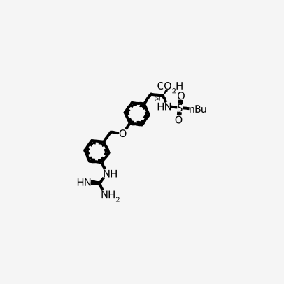 CCCCS(=O)(=O)N[C@@H](Cc1ccc(OCc2cccc(NC(=N)N)c2)cc1)C(=O)O